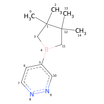 CC1(C)CB(c2ccnnc2)CC1(C)C